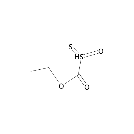 CCOC(=O)[SH](=O)=S